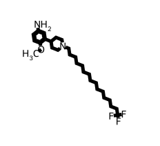 COc1ccc(N)cc1C1CCN(CCCCCCCCCCCCCCCC(F)(F)F)CC1